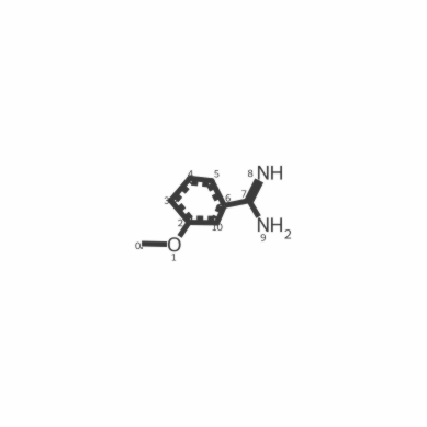 [CH2]Oc1cccc(C(=N)N)c1